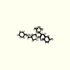 Cc1ccc2nc(N3CCC(CNC4CCCCC4)CC3)c(-c3nc(C)no3)cc2c1